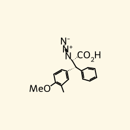 COc1ccc([C@@H](c2ccccc2)[C@H](N=[N+]=[N-])C(=O)O)cc1C